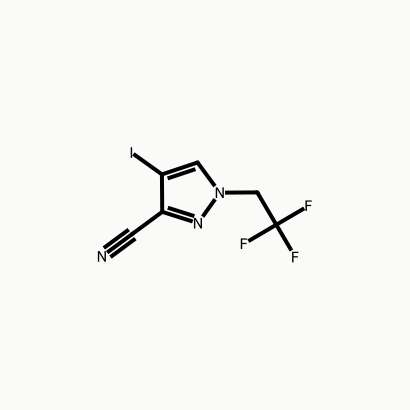 N#Cc1nn(CC(F)(F)F)cc1I